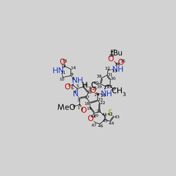 COC(=O)c1nc(C(=O)NC2CNC(=O)C2)ccc1-c1cc2c(cc1C(=O)Nc1c(C)cc(CNC(=O)OC(C)(C)C)cc1C)-c1sccc1CCO2